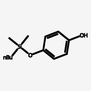 CCCC[Si](C)(C)Oc1ccc(O)cc1